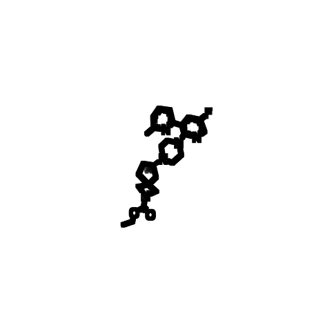 CCOC(=O)N1CC2(CC[C@@H](N3CCN(c4ncc(F)cc4-c4cccc(C)n4)CC3)C2)C1